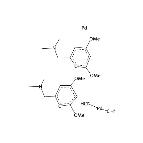 COc1[c-]c(CN(C)C)cc(OC)c1.COc1[c-]c(CN(C)C)cc(OC)c1.[ClH+][Pd][ClH+].[Pd]